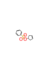 O=S(=O)(OC1CC=CC1)c1ccccc1